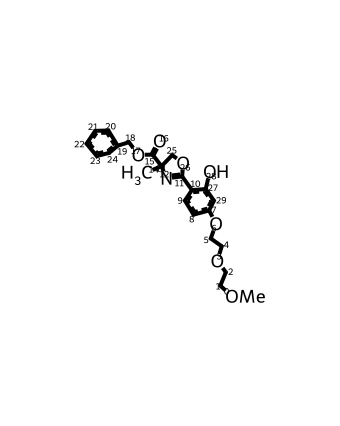 COCCOCCOc1ccc(C2=NC(C)(C(=O)OCc3ccccc3)CO2)c(O)c1